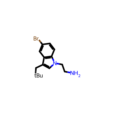 CC(C)(C)Cc1cn(CCN)c2ccc(Br)cc12